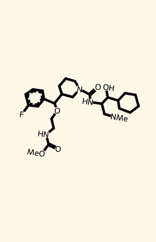 CNCC(NC(=O)N1CCCC(C(OCCNC(=O)OC)c2cccc(F)c2)C1)C(O)C1CCCCC1